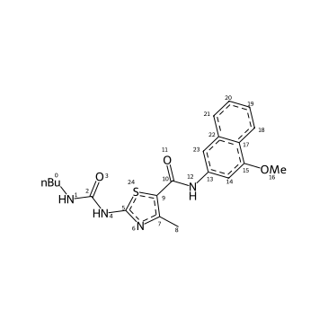 CCCCNC(=O)Nc1nc(C)c(C(=O)Nc2cc(OC)c3ccccc3c2)s1